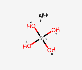 O[Si](O)(O)O.[AlH]